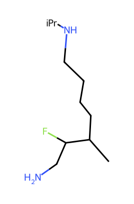 CC(C)NCCCCC(C)C(F)CN